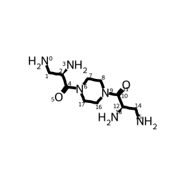 NC[C@@H](N)C(=O)N1CCN(C(=O)[C@H](N)CN)CC1